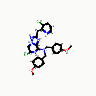 COc1ccc(CN(Cc2ccc(OC)cc2)c2nc(Br)cn3nc(Cc4ncccc4Cl)nc23)cc1